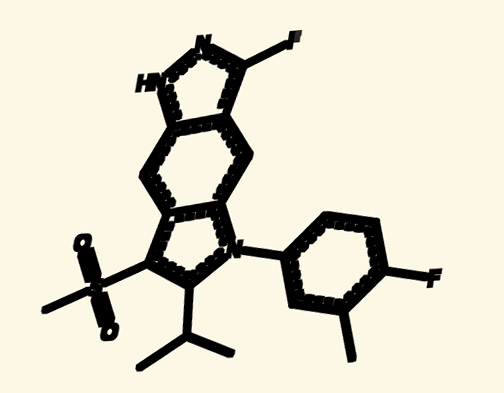 Cc1cc(-n2c(C(C)C)c(S(C)(=O)=O)c3cc4[nH]nc(F)c4cc32)ccc1F